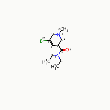 CCN(CC)C(=O)C1C=C(Br)CN(C)C1